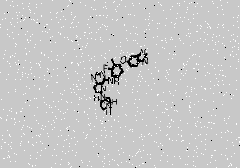 Cc1c(Oc2ccc3c(c2)ncn3C)ccc(Nc2ncnc3ccc(N4C[C@@H]5C[C@H]4CCN5)nc23)c1F